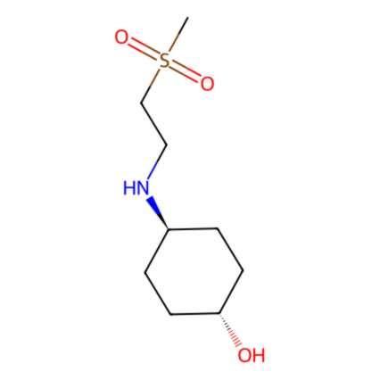 CS(=O)(=O)CCN[C@H]1CC[C@H](O)CC1